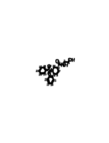 O=C(NCCO)[C@@H]1CC[C@H](c2ccccc2)N(S(=O)(=O)c2ccccc2)C1